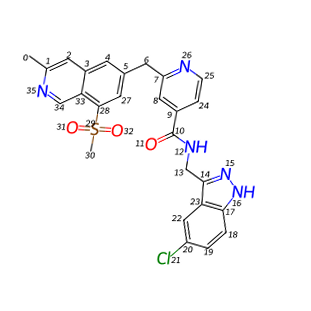 Cc1cc2cc(Cc3cc(C(=O)NCc4n[nH]c5ccc(Cl)cc45)ccn3)cc(S(C)(=O)=O)c2cn1